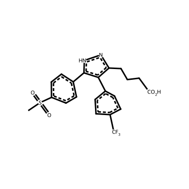 CS(=O)(=O)c1ccc(-c2[nH]nc(CCCC(=O)O)c2-c2ccc(C(F)(F)F)cc2)cc1